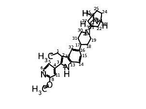 CCc1c(-c2ccnc(OC)c2)[nH]c2ccc(C3CCN(C4C[C@H]5CC[C@@H](C4)N5C)CC3)cc12